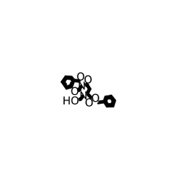 O=C(OCc1ccccc1)C1CC(=O)N(C(=O)c2ccccc2)C(=O)N1CO